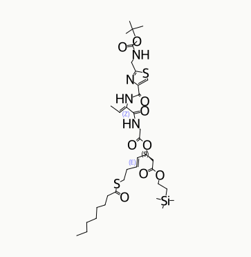 C/C=C(\NC(=O)c1csc(CNC(=O)OC(C)(C)C)n1)C(=O)NCC(=O)O[C@H](/C=C/CCSC(=O)CCCCCCC)CC(=O)OCC[Si](C)(C)C